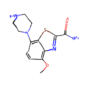 COc1ccc(N2CCNCC2)c2sc(C(N)=O)nc12